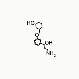 NCC[C@@H](O)c1cccc(OCC2CCC[C@@H](O)C2)c1